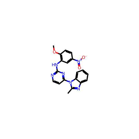 COc1ccc([N+](=O)[O-])cc1Nc1nccc(-n2c(C)nc3ccccc32)n1